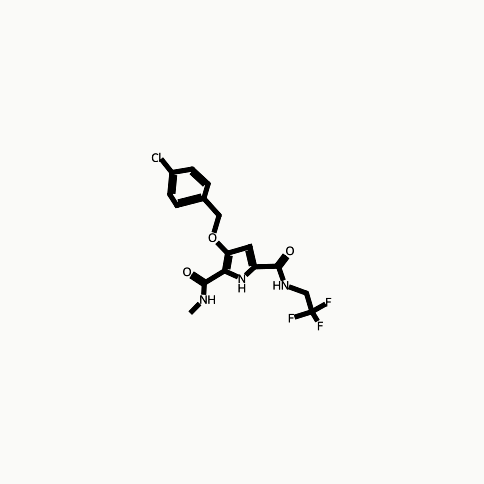 CNC(=O)c1[nH]c(C(=O)NCC(F)(F)F)cc1OCc1ccc(Cl)cc1